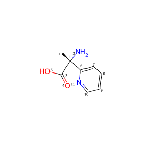 C[C@](N)(C(=O)O)c1ccccn1